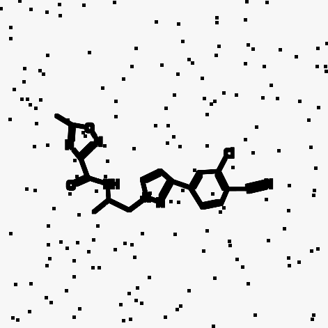 Cc1nc(C(=O)NC(C)Cn2ccc(-c3ccc(C#N)c(Cl)c3)n2)no1